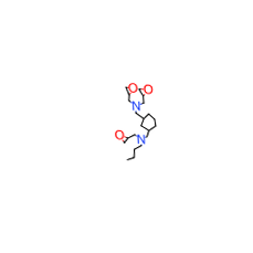 CCCCN(CC1CCCC(CN(CC2CO2)CC2CO2)C1)CC1CO1